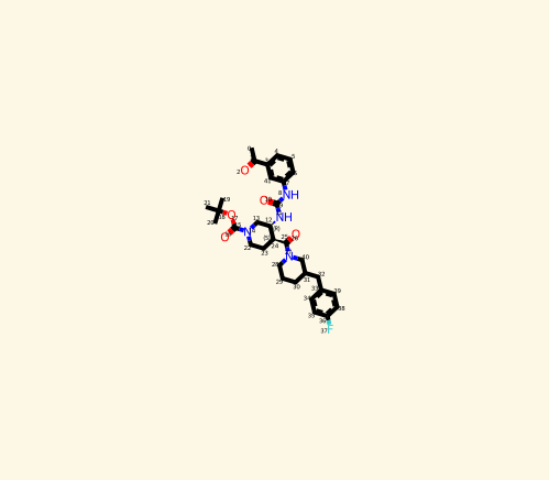 CC(=O)c1cccc(NC(=O)N[C@H]2CN(C(=O)OC(C)(C)C)CC[C@@H]2C(=O)N2CCCC(Cc3ccc(F)cc3)C2)c1